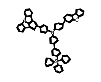 C1=CCC2C(=C1)n1c3ccccc3c3cc(-c4ccc(N(c5ccc(-c6ccc([Si](c7ccccc7)(c7ccccc7)c7ccccc7)cc6)cc5)c5ccc(-c6ccc7c(c6)oc6ccccc67)cc5)cc4)cc2c31